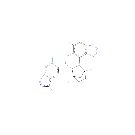 Nc1n[nH]c2cc(F)c([C@@H]3Nc4c(F)cc5[nH]ncc5c4[C@H]4[C@@H]5CC[C@H](C5)[C@H]43)cc12